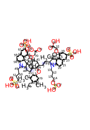 Cc1cc(OC2=C(/C=C/C3=[N+](CCCCOS(=O)O)c4ccc5cc(S(=O)(=O)O)cc(OCC(=O)O)c5c4C3(C)C)CCC/C2=C\C=C2\N(CCCCS(=O)(=O)O)c3ccc4cc(S(=O)(=O)O)cc(OCC(=O)O)c4c3C2(C)C)cc(C)c1C